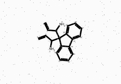 C=CC(N)C1(C(N)C=C)c2ccccc2-c2ccccc21